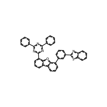 c1ccc(-c2nc(-c3ccccc3)nc(-c3cccc4c3oc3c(-c5cccc(-c6nc7ccccc7s6)c5)cccc34)n2)cc1